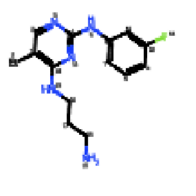 CCc1cnc(Nc2cccc(F)c2)nc1NCCCN